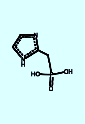 O=P(O)(O)Cc1ncc[nH]1